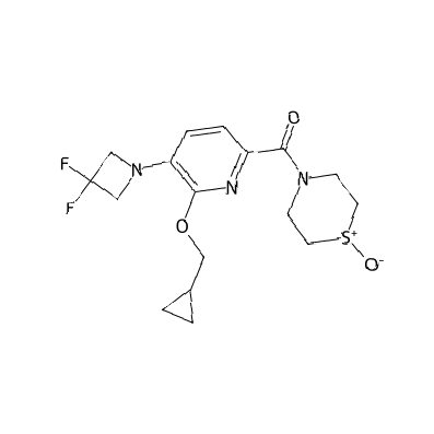 O=C(c1ccc(N2CC(F)(F)C2)c(OCC2CC2)n1)N1CC[S+]([O-])CC1